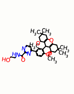 COc1ccc(-c2ccnc(C(=O)NCCO)n2)c(C)c1C1C2=C(CC(C)(C)CC2=O)OC2=C1C(=O)CC(C)(C)C2